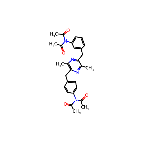 CC(=O)N(C(C)=O)c1ccc(Cc2nc(C)c(Cc3cccc(N(C(C)=O)C(C)=O)c3)nc2C)cc1